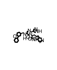 NC(=O)C(Cc1cc2cnccc2[nH]1)n1c(-c2cn[nH]c2)ncc(NCc2ccc3oc4ccccc4c3c2)c1=O